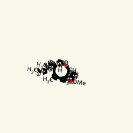 C=CC(=O)N1CC[C@H](C(=O)N(C)C(C(=O)N[C@H]2Cc3cc(C)cc(c3)-c3ccc4c(c3)c(c(-c3cccnc3[C@H](C)OC)n4CC)CC(C)(C)COC(=O)[C@@H]3CCCN(N3)C2=O)C(C)C)C1